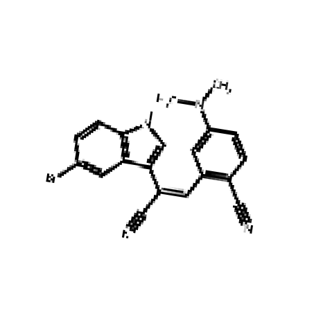 CN(C)c1ccc(C#N)c(C=C(C#N)c2c[nH]c3ccc(Br)cc23)c1